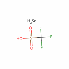 O=S(=O)(O)C(F)(F)F.[SeH2]